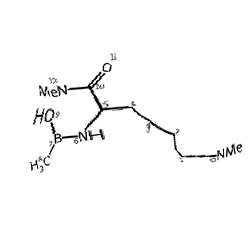 CNCCCCC(NB(C)O)C(=O)NC